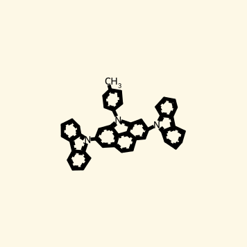 Cc1ccc(-n2c3cc(-n4c5ccccc5c5ccccc54)cc4ccc5cc(-n6c7ccccc7c7ccccc76)cc2c5c43)cc1